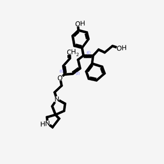 C=C/C=C(\C=C/C/C(=C(/CCCO)c1ccccc1)c1ccc(O)cc1)OCCN1CCC2(CCNC2)C1